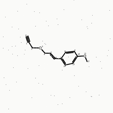 C#CCOC/C=C/c1ccc(OC)cc1